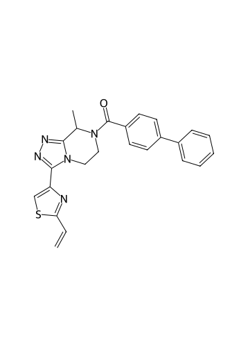 C=Cc1nc(-c2nnc3n2CCN(C(=O)c2ccc(-c4ccccc4)cc2)C3C)cs1